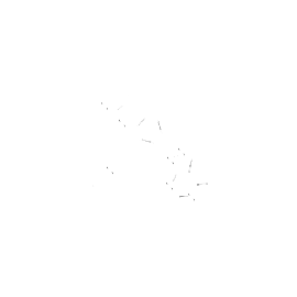 CN1CCC(c2c(Cn3[nH]cc4c(=O)ncnc3-4)cccc2NC(N)=O)CC1